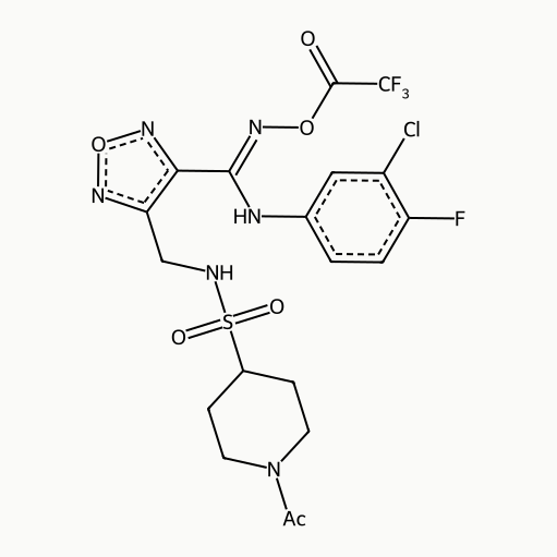 CC(=O)N1CCC(S(=O)(=O)NCc2nonc2C(=NOC(=O)C(F)(F)F)Nc2ccc(F)c(Cl)c2)CC1